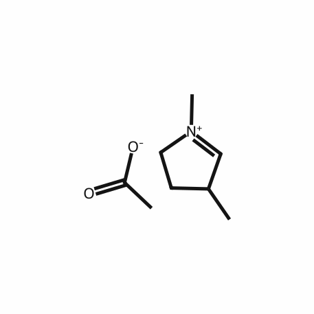 CC(=O)[O-].CC1C=[N+](C)CC1